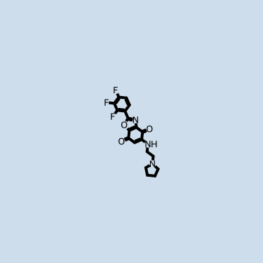 O=C1C(NCCN2CCCC2)=CC(=O)c2oc(-c3ccc(F)c(F)c3F)nc21